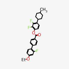 CCOc1ccc(-c2ccc(C(=O)Oc3ccc(C4CCC(C)CC4)c(F)c3F)cc2)c(F)c1